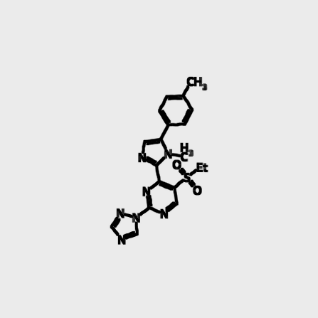 CCS(=O)(=O)c1cnc(-n2cncn2)nc1-c1ncc(-c2ccc(C)cc2)n1C